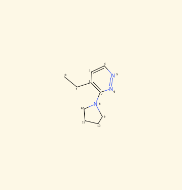 CCc1ccnnc1N1CCCC1